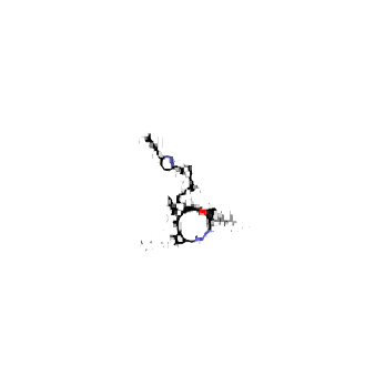 COc1cc2cc(c1Cl)N(C)C(=O)C[C@H](OC(=O)[C@H](C)N(C)C(=O)CCOC(=O)N(C)CCN(C)C(=O)OC1/C=C/CC(OCCNC(=O)CS)CCC1)[C@]1(C)O[C@H]1[C@H](C)[C@@H]1C[C@@](O)(NC(=O)O1)[C@H](OC)/C=C/C=C(\C)C2